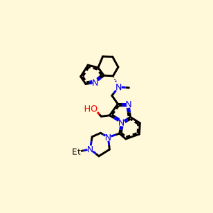 CCN1CCN(c2cccc3nc(CN(C)[C@H]4CCCc5cccnc54)c(CO)n23)CC1